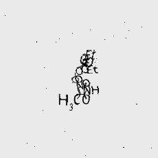 CCOP(=O)(COCC1C=CC(n2cc(C)c(=O)[nH]c2=O)O1)OCC